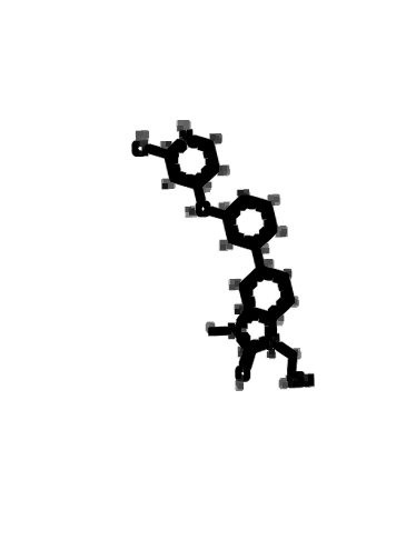 Cn1c(=O)n(CC(C)(C)C)c2ccc(-c3cccc(Oc4ccnc(Cl)c4)c3)cc21